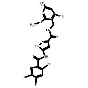 COc1nc(C)cc(C)c1CNC(=O)c1cc(NC(=O)c2cc(F)c(F)cc2Cl)[nH]n1